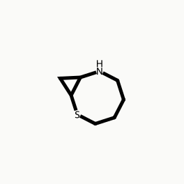 C1CCSC2CC2NC1